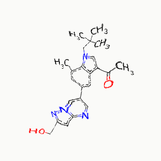 CC(=O)c1cn(CC(C)(C)C)c2c(C)cc(-c3cnc4cc(CO)nn4c3)cc12